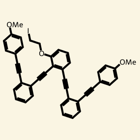 COc1ccc(C#Cc2ccccc2C#Cc2cccc(OCCI)c2C#Cc2ccccc2C#Cc2ccc(OC)cc2)cc1